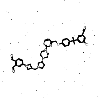 CC(C)(c1ccc(OCc2ccnc(N3CCN(C4CCN(CC5CN(c6ccc(C=O)c(C=O)c6)C5)C4)CC3)n2)cc1)c1cc(Cl)cc(C#N)c1